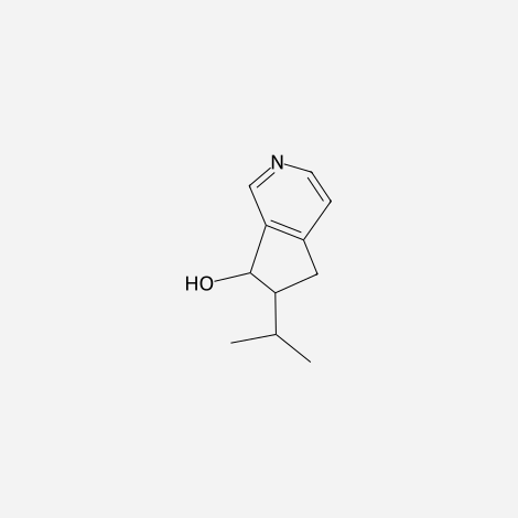 CC(C)C1Cc2ccncc2C1O